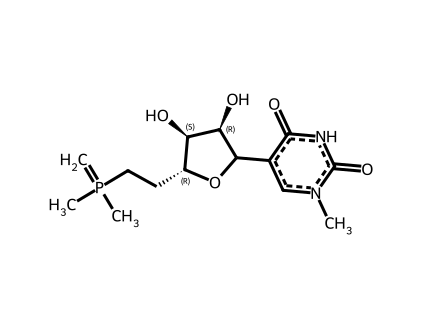 C=P(C)(C)CC[C@H]1OC(c2cn(C)c(=O)[nH]c2=O)[C@H](O)[C@@H]1O